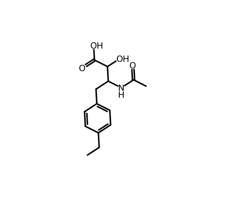 CCc1ccc(CC(NC(C)=O)C(O)C(=O)O)cc1